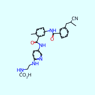 Cc1ccc(NC(=O)c2cccc(CC(C)C#N)c2)cc1C(=O)Nc1ccc(NCCNC(=O)O)nc1